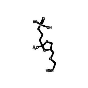 CCCCCCCCCCCOCC1COC(C)(CCCP(=O)(O)O)O1